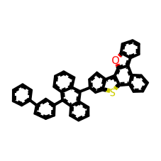 c1ccc(-c2cccc(-c3c4ccccc4c(-c4ccc5c(c4)sc4c6ccccc6c6c7ccccc7oc6c54)c4ccccc34)c2)cc1